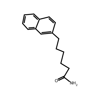 NC(=O)CCCCCc1ccc2ccccc2c1